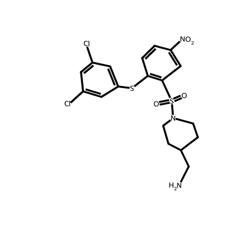 NCC1CCN(S(=O)(=O)c2cc([N+](=O)[O-])ccc2Sc2cc(Cl)cc(Cl)c2)CC1